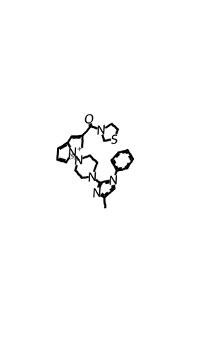 Cc1cn(-c2ccccc2)c(N2CCN([N@@+]34C=CC=C3C=C(C(=O)N3CCSC3)C4)CC2)n1